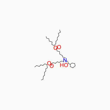 CCCCCCCCC(CCCCCC)OC(=O)CCCCCCN(CCCCCCC(=O)OC(CCCCCC)CCCCCCCC)CC(O)C1CCCCC1